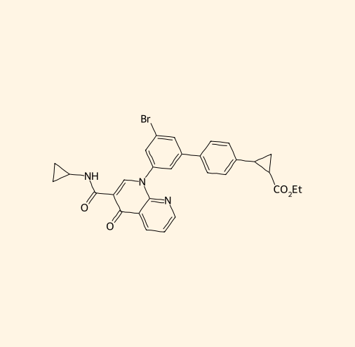 CCOC(=O)C1CC1c1ccc(-c2cc(Br)cc(-n3cc(C(=O)NC4CC4)c(=O)c4cccnc43)c2)cc1